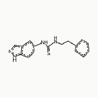 S=C(NCCc1ccccc1)Nc1ccc2[nH]ncc2c1